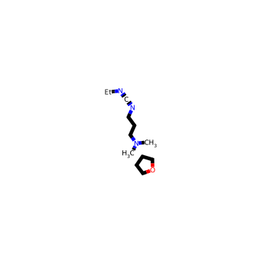 C1CCOC1.CCN=C=NCCCN(C)C